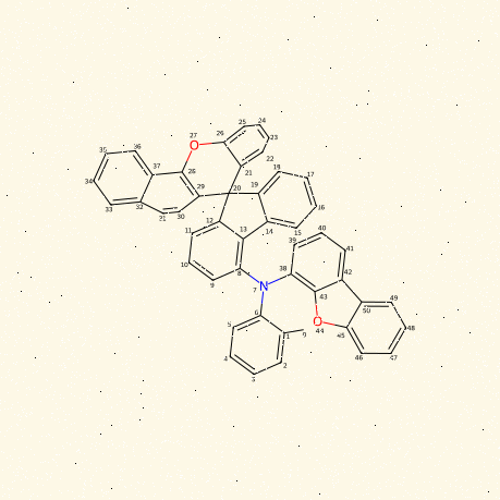 Cc1ccccc1N(c1cccc2c1-c1ccccc1C21c2ccccc2Oc2c1ccc1ccccc21)c1cccc2c1oc1ccccc12